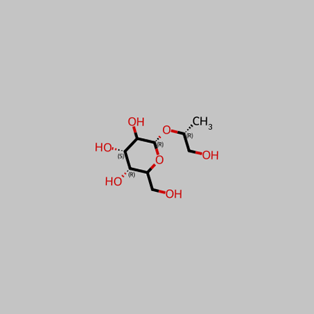 C[C@H](CO)O[C@@H]1OC(CO)[C@H](O)[C@H](O)C1O